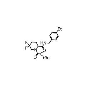 CCc1ccc(CNC(=O)C2CCC(F)(F)CN2C(=O)OC(C)(C)C)cc1